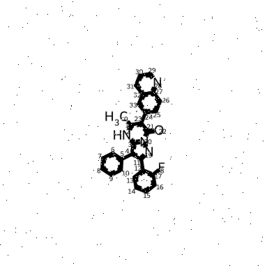 Cc1[nH]c2c(-c3ccccc3)c(-c3ccccc3F)nn2c(=O)c1-c1ccc2ncccc2c1